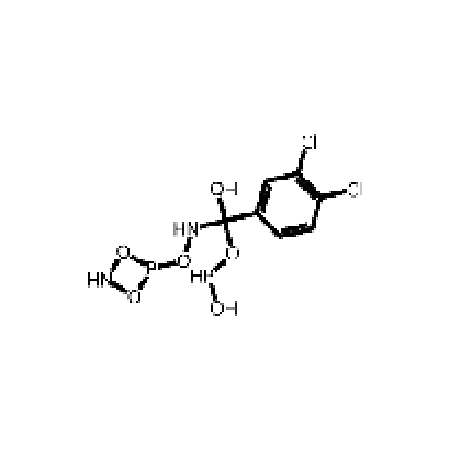 OPOC(O)(NOP1ONO1)c1ccc(Cl)c(Cl)c1